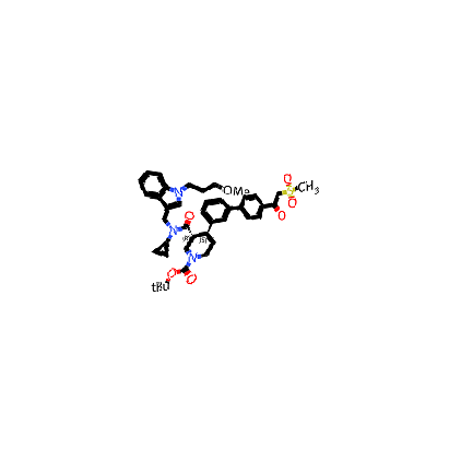 COCCCn1cc(CN(C(=O)[C@H]2CN(C(=O)OC(C)(C)C)CC[C@@H]2c2cccc(-c3ccc(C(=O)CS(C)(=O)=O)cc3)c2)C2CC2)c2ccccc21